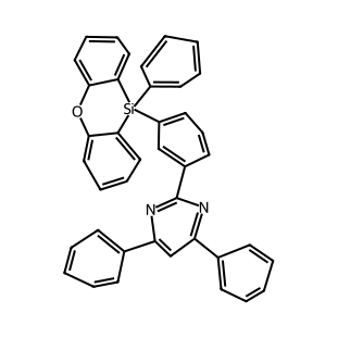 c1ccc(-c2cc(-c3ccccc3)nc(-c3cccc([Si]4(c5ccccc5)c5ccccc5Oc5ccccc54)c3)n2)cc1